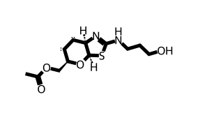 CC(=O)OC[C@H]1[C][C][C@H]2N=C(NCCCO)S[C@H]2O1